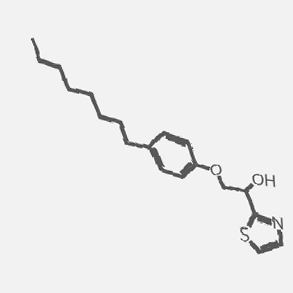 CCCCCCCCc1ccc(OCC(O)c2nccs2)cc1